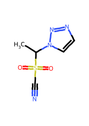 CC(n1ccnn1)S(=O)(=O)C#N